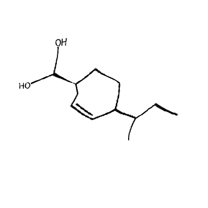 CCC(C)C1C=C[C@@H](C(O)O)CC1